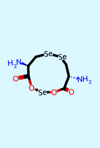 N[C@H]1C[Se][Se]C[C@H](N)C(=O)O[Se]OC1=O